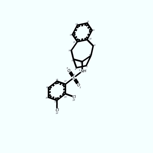 O=S(=O)(NC1C2CCC1Cc1ccccc1C2)c1cccc(Cl)c1Cl